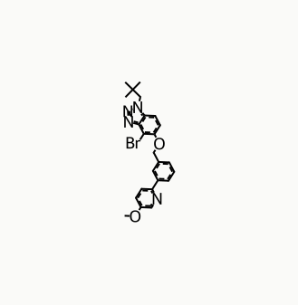 COc1ccc(-c2cccc(COc3ccc4c(nnn4CC(C)(C)C)c3Br)c2)nc1